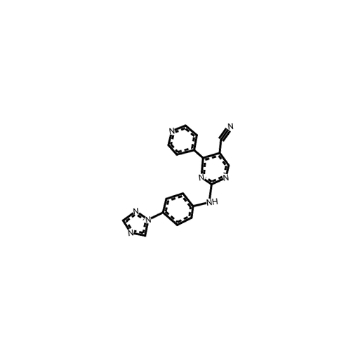 N#Cc1cnc(Nc2ccc(-n3cncn3)cc2)nc1-c1ccncc1